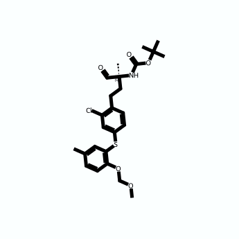 COCOc1ccc(C)cc1Sc1ccc(CC[C@@](C)(C=O)NC(=O)OC(C)(C)C)c(Cl)c1